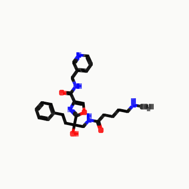 O=C(O)NCCCCC(=O)NCC(O)(CCc1ccccc1)c1nc(C(=O)NCc2cccnc2)co1